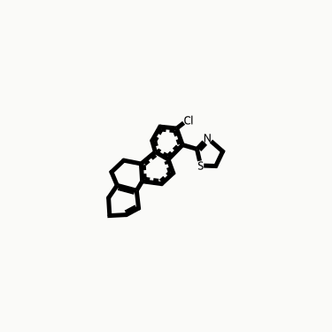 Clc1ccc2c3c(ccc2c1C1=NCCS1)C1=C(CCC=C1)CC3